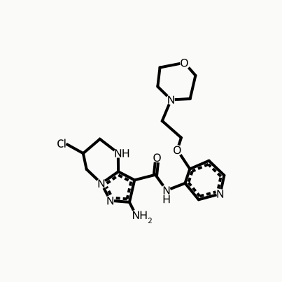 Nc1nn2c(c1C(=O)Nc1cnccc1OCCN1CCOCC1)NCC(Cl)C2